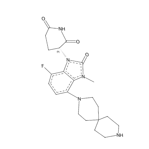 Cn1c(=O)n([C@@H]2CCC(=O)NC2=O)c2c(F)ccc(N3CCC4(CCNCC4)CC3)c21